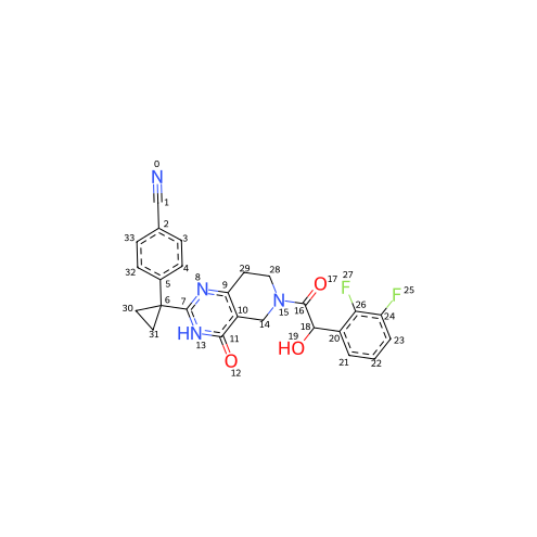 N#Cc1ccc(C2(c3nc4c(c(=O)[nH]3)CN(C(=O)C(O)c3cccc(F)c3F)CC4)CC2)cc1